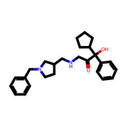 O=C(CNCC1CCN(Cc2ccccc2)C1)C(O)(c1ccccc1)C1CCCC1